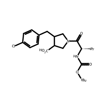 CC(C)[C@H](NC(=O)OC(C)(C)C)C(=O)N1CC(Cc2ccc(Cl)cc2)C(C(=O)O)C1